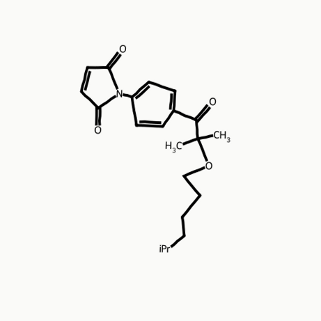 CC(C)CCCCOC(C)(C)C(=O)c1ccc(N2C(=O)C=CC2=O)cc1